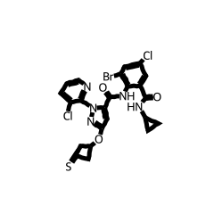 O=C(NC1CC1)c1cc(Cl)cc(Br)c1NC(=O)c1cc(OC2CC(=S)C2)nn1-c1ncccc1Cl